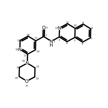 O=C(Nc1cc2ccccc2cn1)c1ccnc(N2CCOCC2)c1